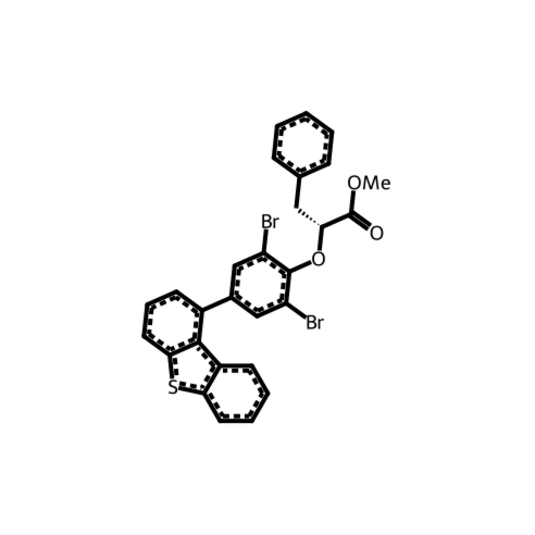 COC(=O)[C@@H](Cc1ccccc1)Oc1c(Br)cc(-c2cccc3sc4ccccc4c23)cc1Br